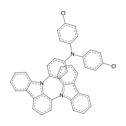 Clc1ccc(N(c2ccc(Cl)cc2)c2ccc(-n3c4ccccc4c4cccc(-n5c6ccccc6c6ccccc65)c43)cc2)cc1